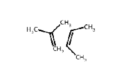 C/C=C\C.C=C(C)C